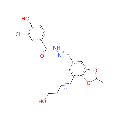 CC1Oc2cc(/C=N/NC(=O)c3ccc(O)c(Cl)c3)cc(/C=C/CCO)c2O1